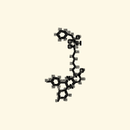 Cc1ccc(-c2nc3c(nc2-c2ccc(C)cc2)N(CCCCCCC(=O)NS(=O)(=O)Cc2ccccc2)C(=O)CC3)cc1